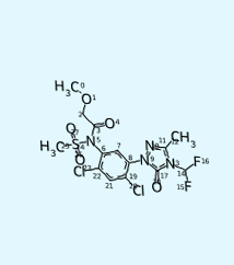 COCC(=O)N(c1cc(-n2nc(C)n(C(F)F)c2=O)c(Cl)cc1Cl)S(C)(=O)=O